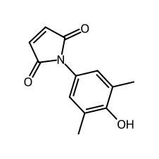 Cc1cc(N2C(=O)C=CC2=O)cc(C)c1O